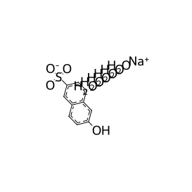 O.O.O.O.O.O.O=S(=O)([O-])c1ccc2cc(O)ccc2c1.[Na+]